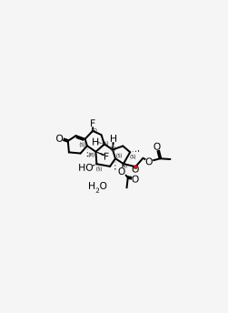 CC(=O)OCC(=O)[C@]1(OC(C)=O)[C@@H](C)C[C@H]2[C@@H]3C[C@H](F)C4=CC(=O)CC[C@]4(C)[C@@]3(F)[C@@H](O)C[C@@]21C.O